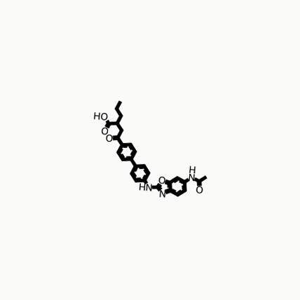 CCCC(CC(=O)c1ccc(-c2ccc(Nc3nc4ccc(NC(C)=O)cc4o3)cc2)cc1)C(=O)O